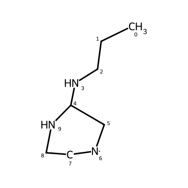 CCCNC1C[N]CCN1